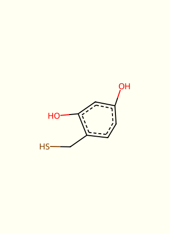 Oc1ccc(CS)c(O)c1